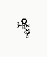 CC(=O)Nc1ccccc1C(=O)Nc1ncc(Cl)o1